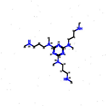 CNCCCN(C)c1nc(N(C)CCCNC)nc(N(C)CCCNC)n1